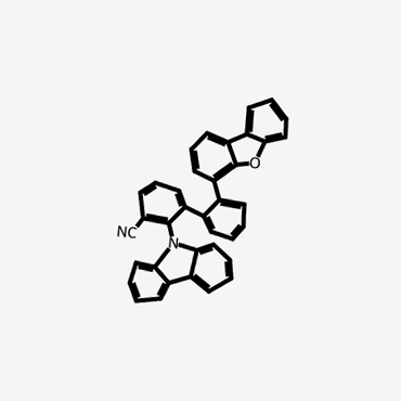 N#Cc1cccc(-c2ccccc2-c2cccc3c2oc2ccccc23)c1-n1c2ccccc2c2ccccc21